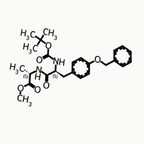 COC(=O)[C@H](C)NC(=O)[C@H](Cc1ccc(OCc2ccccc2)cc1)NC(=O)OC(C)(C)C